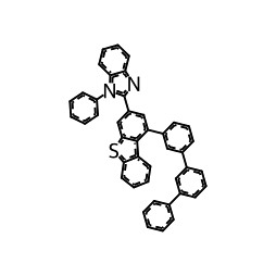 c1ccc(-c2cccc(-c3cccc(-c4cc(-c5nc6ccccc6n5-c5ccccc5)cc5sc6ccccc6c45)c3)c2)cc1